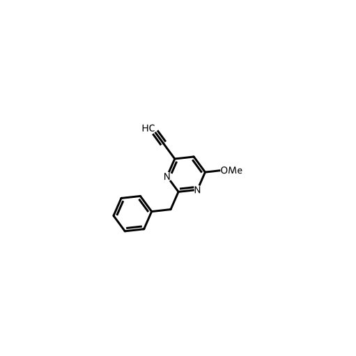 C#Cc1cc(OC)nc(Cc2ccccc2)n1